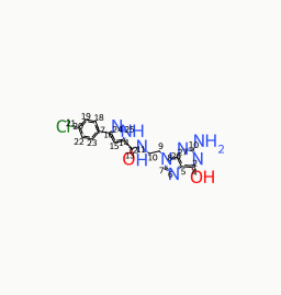 Nc1nc(O)c2ncn(CCNC(=O)c3cc(-c4ccc(Cl)cc4)n[nH]3)c2n1